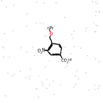 CCCOCc1ccc(C(=O)O)cc1[N+](=O)[O-]